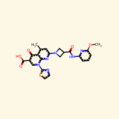 COc1cccc(NC(=O)C2CN(c3cc(C)c4c(=O)c(C(=O)O)cn(-c5nccs5)c4n3)C2)n1